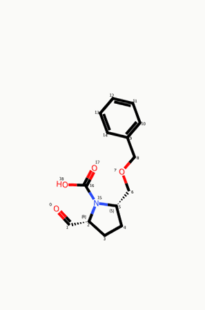 O=C[C@H]1CC[C@@H](COCc2ccccc2)N1C(=O)O